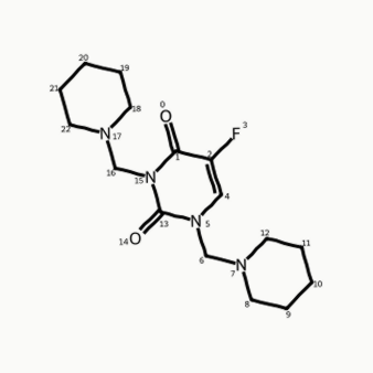 O=c1c(F)cn(CN2CCCCC2)c(=O)n1CN1CCCCC1